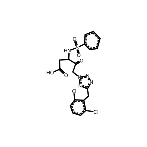 O=C(O)CC(NS(=O)(=O)c1ccccc1)C(=O)Cn1nnc(Cc2c(Cl)cccc2Cl)n1